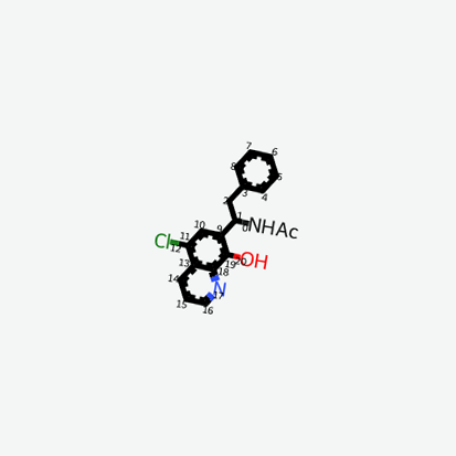 CC(=O)NC(Cc1ccccc1)c1cc(Cl)c2cccnc2c1O